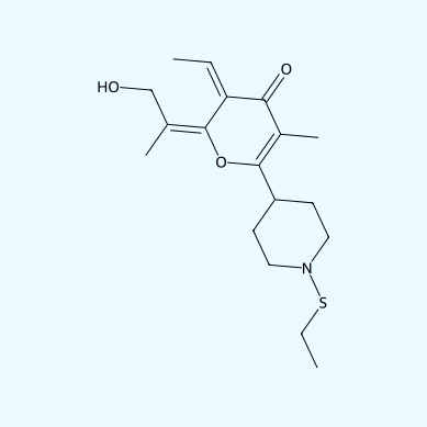 C/C=c1/c(=O)c(C)c(C2CCN(SCC)CC2)o/c1=C(\C)CO